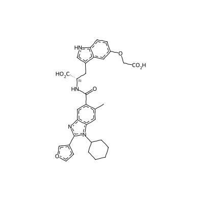 Cc1cc2c(cc1C(=O)N[C@@H](Cc1c[nH]c3ccc(OCC(=O)O)cc13)C(=O)O)nc(-c1ccoc1)n2C1CCCCC1